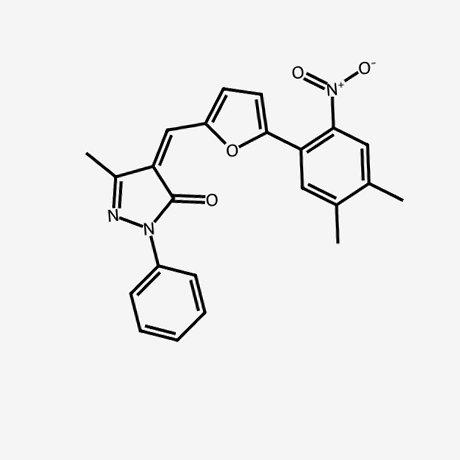 CC1=NN(c2ccccc2)C(=O)C1=Cc1ccc(-c2cc(C)c(C)cc2[N+](=O)[O-])o1